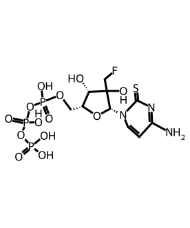 Nc1ccn([C@@H]2O[C@H](COP(=O)(O)OP(=O)(O)OP(=O)(O)O)[C@H](O)C2(O)CF)c(=S)n1